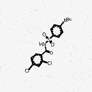 CC(C)(C)c1ccc(S(=O)(=O)NC(=O)c2ccc(Cl)cc2Cl)cc1